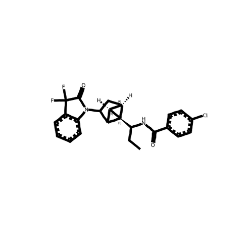 CCC(NC(=O)c1ccc(Cl)cc1)[C@]12C3C(N4C(=O)C(F)(F)c5ccccc54)C[C@@H]1[C@H]32